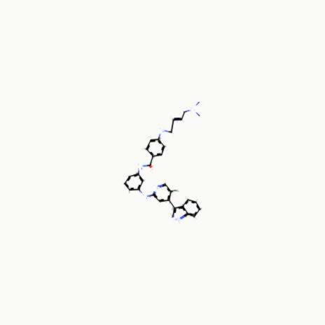 CN(C)C/C=C/CNc1ccc(C(=O)Nc2cccc(Nc3cc(-c4c[nH]c5ccccc45)c(Cl)cn3)c2)cc1